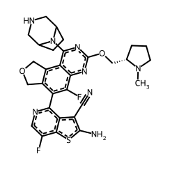 CN1CCC[C@H]1COc1nc(N2C3CCC2CNC3)c2c3c(c(-c4ncc(F)c5sc(N)c(C#N)c45)c(F)c2n1)COC3